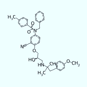 COc1ccc(CC(C)(C)NC[C@@H](O)COc2ccc(N(Cc3ccccc3)S(=O)(=O)c3ccc(C)cc3)cc2C#N)cc1